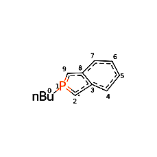 CCCCp1[c]c2ccccc2c1